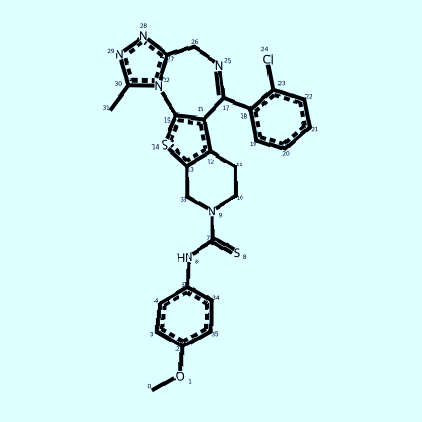 COc1ccc(NC(=S)N2CCc3c(sc4c3C(c3ccccc3Cl)=NCc3nnc(C)n3-4)C2)cc1